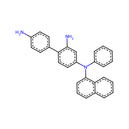 Nc1ccc(-c2ccc(N(c3ccccc3)c3cccc4ccccc34)cc2N)cc1